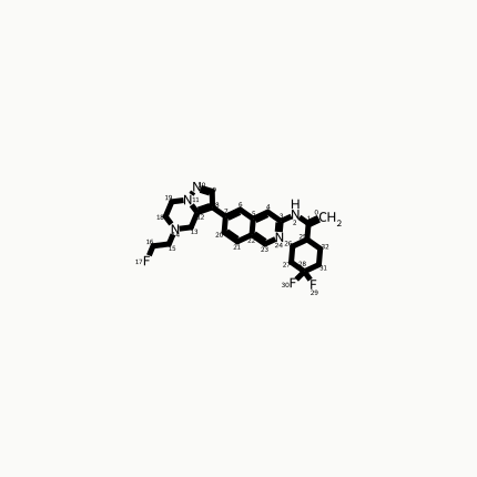 C=C(Nc1cc2cc(-c3cnn4c3CN(CCF)CC4)ccc2cn1)C1CCC(F)(F)CC1